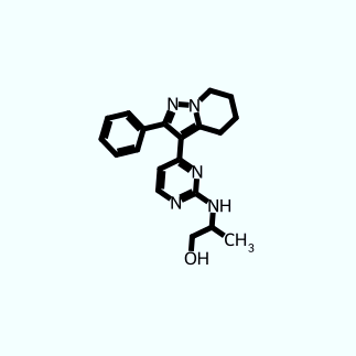 CC(CO)Nc1nccc(-c2c(-c3ccccc3)nn3c2CCCC3)n1